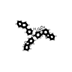 C[Si]1(C)c2cc(N(c3ccc(-c4ccc5ccccc5c4)cc3)c3ccc4c(c3)oc3ccccc34)ccc2-c2c1ccc1c2sc2ccccc21